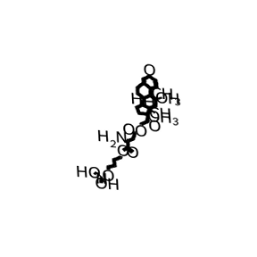 C[C@]12C=CC(=O)C=C1CC[C@@H]1C2[C@@H](O)C[C@@]2(C)[C@H]1CC[C@]2(O)C(=O)COC(=O)CC(N)C(=O)OCCCCON(O)O